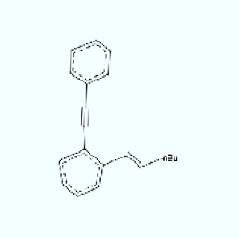 CCCC/C=C/c1ccccc1C#Cc1ccccc1